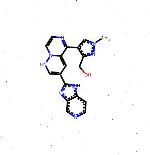 Cn1cc(C2=NC=CN3NC=C(c4nc5cnccc5[nH]4)C=C23)c(CO)n1